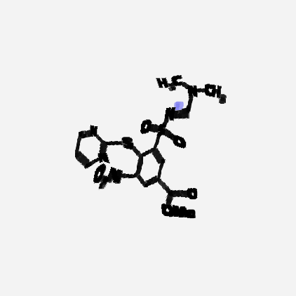 COC(=O)c1cc([N+](=O)[O-])c(Sc2ncccn2)c(S(=O)(=O)/N=C/N(C)C)c1